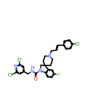 O=C(NCc1cc(Cl)nc(Cl)c1)N1CC2(CCN(C/C=C/c3ccc(Cl)cc3)CC2)c2cc(F)ccc21